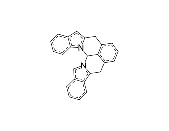 c1cc2c3c(c1)Cc1cc4ccccc4n1C3n1cc3ccccc3c1C2